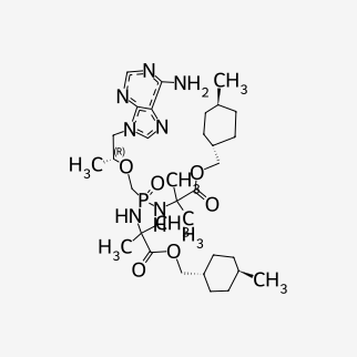 C[C@H](Cn1cnc2c(N)ncnc21)OCP(=O)(NC(C)(C)C(=O)OC[C@H]1CC[C@H](C)CC1)NC(C)(C)C(=O)OC[C@H]1CC[C@H](C)CC1